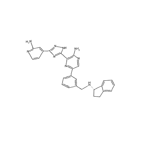 Nc1cc(-c2n[nH]c(-c3nc(-c4cccc(CN[C@H]5CCc6ccccc65)c4)cnc3N)n2)ccn1